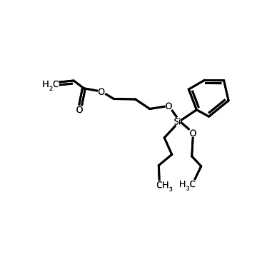 C=CC(=O)OCCCO[Si](CCCC)(OCCC)c1ccccc1